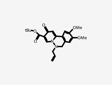 C=CCN1Cc2cc(OC)c(OC)cc2-c2cc(=O)c(C(=O)OC(C)(C)C)cn21